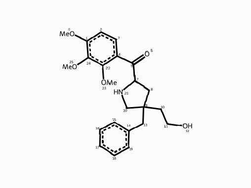 COc1ccc(C(=O)C2CC(CCO)(Cc3ccccc3)CN2)c(OC)c1OC